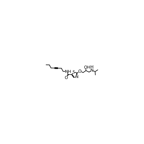 CCCC#CCCNC(=O)c1cnc(OCC(O)CNC(C)C)s1